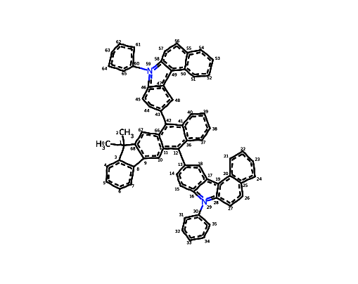 CC1(C)c2ccccc2-c2cc3c(-c4ccc5c(c4)c4c6ccccc6ccc4n5-c4ccccc4)c4ccccc4c(-c4ccc5c(c4)c4c6ccccc6ccc4n5-c4ccccc4)c3cc21